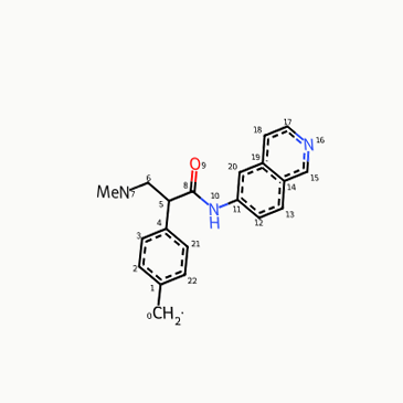 [CH2]c1ccc(C(CNC)C(=O)Nc2ccc3cnccc3c2)cc1